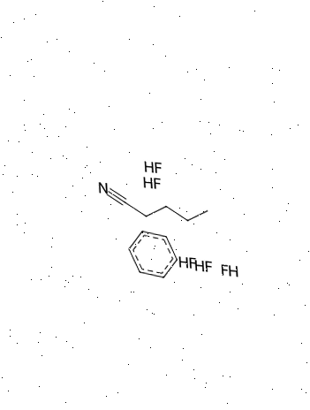 CCCCC#N.F.F.F.F.F.c1ccccc1